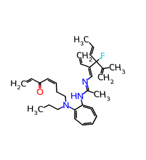 C=CC(=O)/C=C\CCN(CCC)C1=CC=CC=C=C1N/C(C)=N/C=C(\C=C)C(F)(/C=C/C)C(=C)C